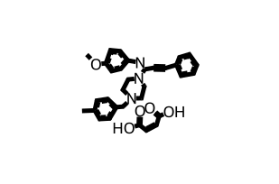 COc1ccc(N=C(C#Cc2ccccc2)N2CCN(Cc3ccc(C)cc3)CC2)cc1.O=C(O)/C=C\C(=O)O